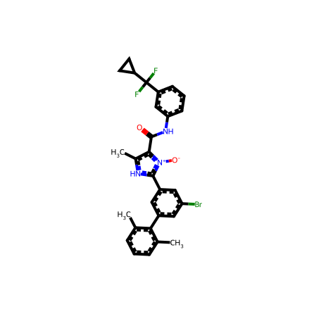 Cc1cccc(C)c1-c1cc(Br)cc(-c2[nH]c(C)c(C(=O)Nc3cccc(C(F)(F)C4CC4)c3)[n+]2[O-])c1